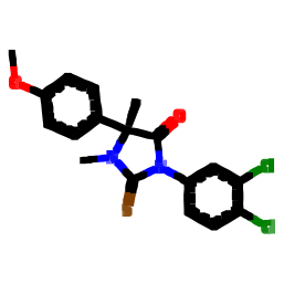 COc1ccc([C@]2(C)C(=O)N(c3ccc(Cl)c(Cl)c3)C(=S)N2C)cc1